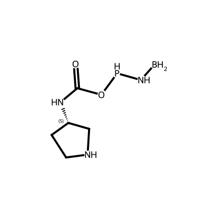 BNPOC(=O)N[C@H]1CCNC1